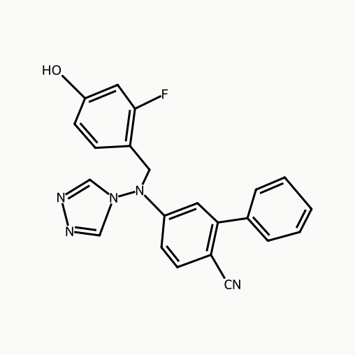 N#Cc1ccc(N(Cc2ccc(O)cc2F)n2cnnc2)cc1-c1ccccc1